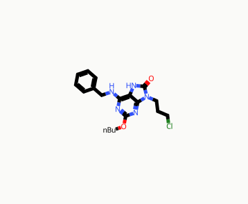 CCCCOc1nc(NCc2ccccc2)c2[nH]c(=O)n(CCCCl)c2n1